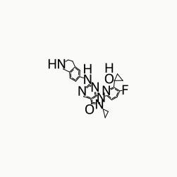 O=c1c2cnc(Nc3ccc4c(c3)CCNC4)nc2n(-c2ccc(F)c(C3(O)CC3)n2)n1C1CC1